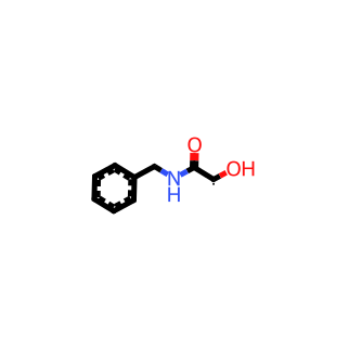 O=C([CH]O)NCc1ccccc1